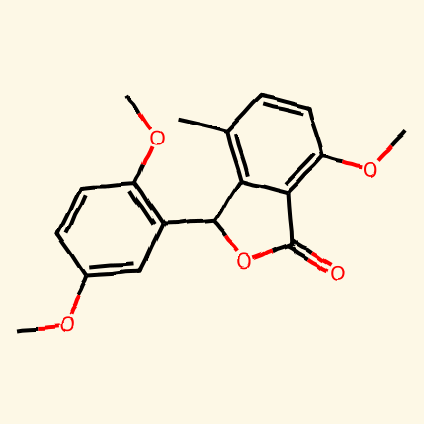 COc1ccc(OC)c(C2OC(=O)c3c(OC)ccc(C)c32)c1